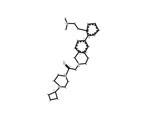 CN(C)CCc1ccccc1-c1ccc2c(c1)CCN(CC(=O)N1CCN(C3CCC3)CC1)C2